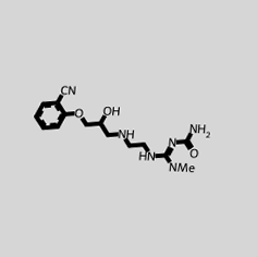 CNC(=NC(N)=O)NCCNCC(O)COc1ccccc1C#N